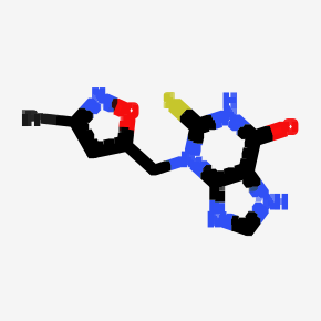 CC(C)c1cc(Cn2c(=S)[nH]c(=O)c3[nH]cnc32)on1